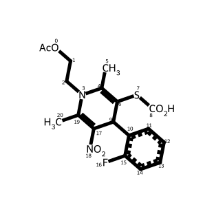 CC(=O)OCCN1C(C)=C(SC(=O)O)C(c2ccccc2F)C([N+](=O)[O-])=C1C